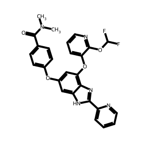 CN(C)C(=O)c1ccc(Oc2cc(Oc3cccnc3OC(F)F)c3nc(-c4ccccn4)[nH]c3c2)cc1